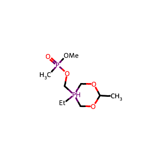 CC[PH]1(COP(C)(=O)OC)COC(C)OC1